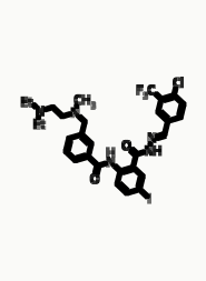 CCN(CC)CCN(C)Cc1cccc(C(=O)Nc2ccc(I)cc2C(=O)NN=Cc2ccc(Cl)c(C(F)(F)F)c2)c1